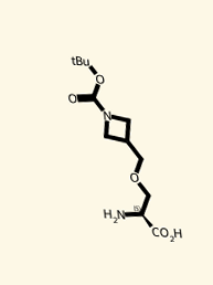 CC(C)(C)OC(=O)N1CC(COC[C@H](N)C(=O)O)C1